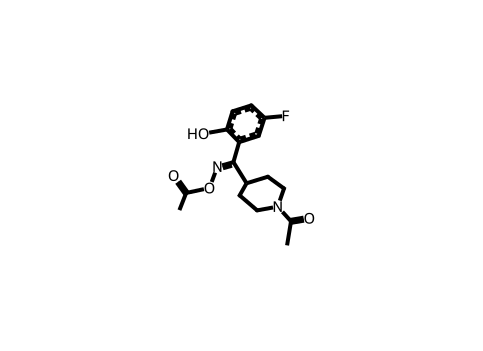 CC(=O)O/N=C(/c1cc(F)ccc1O)C1CCN(C(C)=O)CC1